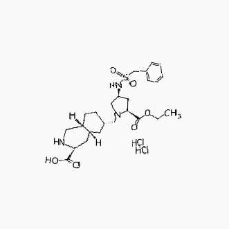 CCOC(=O)[C@@H]1C[C@H](NS(=O)(=O)Cc2ccccc2)CN1C[C@H]1CC[C@H]2CN[C@H](C(=O)O)C[C@H]2C1.Cl.Cl